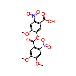 COc1cc(C(=O)Oc2cc(C(=O)O)c([N+](=O)[O-])cc2OC)c([N+](=O)[O-])cc1OC